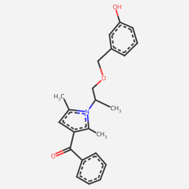 Cc1cc(C(=O)c2ccccc2)c(C)n1C(C)COCc1cccc(O)c1